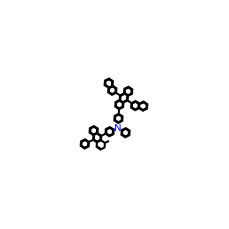 CC1CC=Cc2c1c(-c1ccc(N(c3ccccc3)c3ccc(-c4ccc5c(-c6ccc7ccccc7c6)c6ccccc6c(-c6ccc7ccccc7c6)c5c4)cc3)cc1)c1ccccc1c2-c1ccccc1